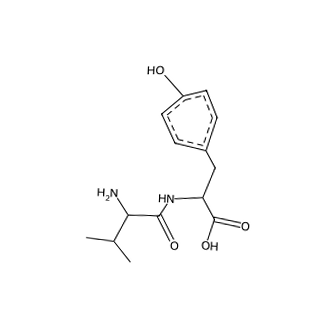 CC(C)C(N)C(=O)NC(Cc1ccc(O)cc1)C(=O)O